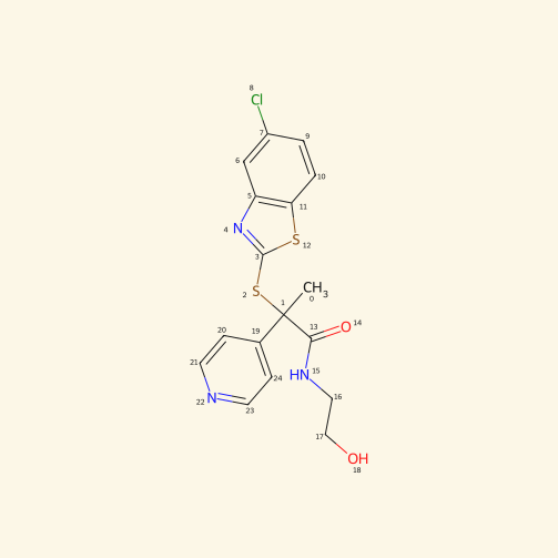 CC(Sc1nc2cc(Cl)ccc2s1)(C(=O)NCCO)c1ccncc1